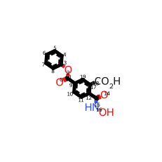 O=C(Oc1ccccc1)c1ccc(C(=O)NO)c(C(=O)O)c1